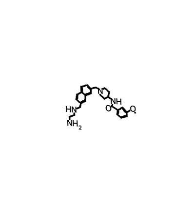 COc1cccc(C(=O)NC2CCN(Cc3ccc4ccc(CNCCN)cc4c3)CC2)c1